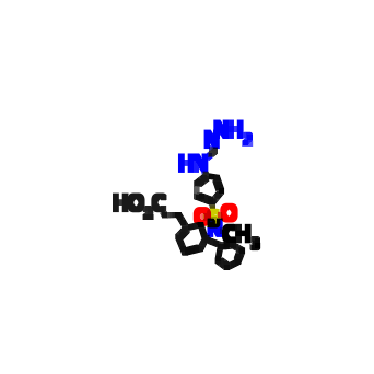 CN(C1(c2ccccc2)C=CC=C(CCC(=O)O)C1)S(=O)(=O)c1ccc(NC=NN)cc1